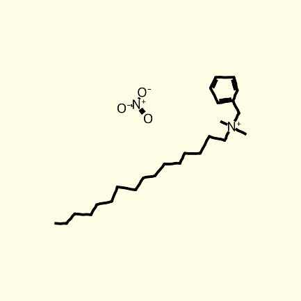 CCCCCCCCCCCCCCCC[N+](C)(C)Cc1ccccc1.O=[N+]([O-])[O-]